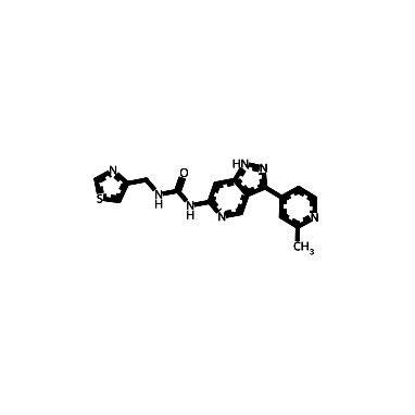 Cc1cc(-c2n[nH]c3cc(NC(=O)NCc4cscn4)ncc23)ccn1